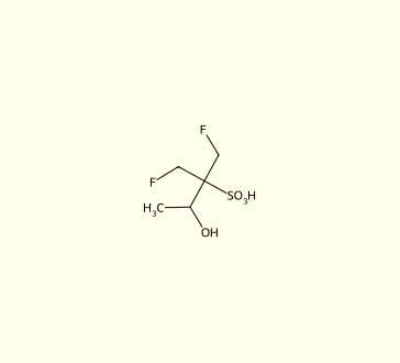 CC(O)C(CF)(CF)S(=O)(=O)O